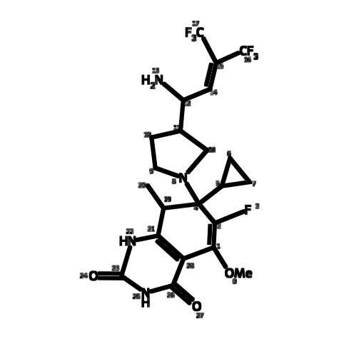 COC1=C(F)C(C2CC2)(N2CCC(C(N)C=C(C(F)(F)F)C(F)(F)F)C2)C(C)c2[nH]c(=O)[nH]c(=O)c21